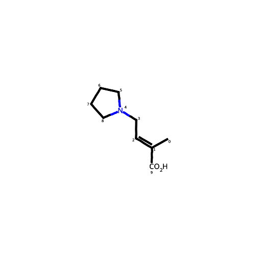 C/C(=C\CN1CCCC1)C(=O)O